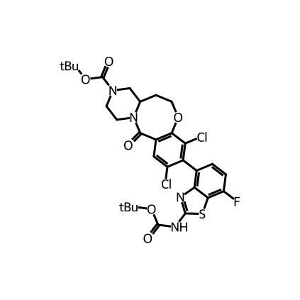 CC(C)(C)OC(=O)Nc1nc2c(-c3c(Cl)cc4c(c3Cl)OCCC3CN(C(=O)OC(C)(C)C)CCN3C4=O)ccc(F)c2s1